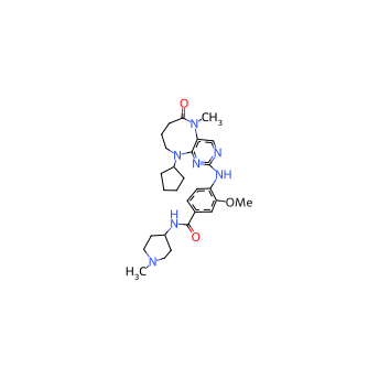 COc1cc(C(=O)NC2CCN(C)CC2)ccc1Nc1ncc2c(n1)N(C1CCCC1)CCCC(=O)N2C